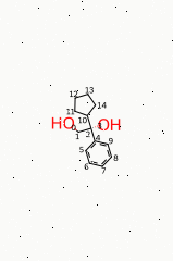 OC[C@](O)(c1ccccc1)C1CCCC1